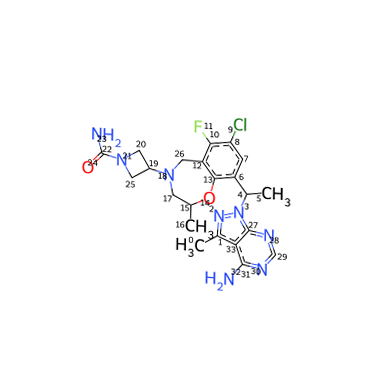 Cc1nn(C(C)c2cc(Cl)c(F)c3c2OC(C)CN(C2CN(C(N)=O)C2)C3)c2ncnc(N)c12